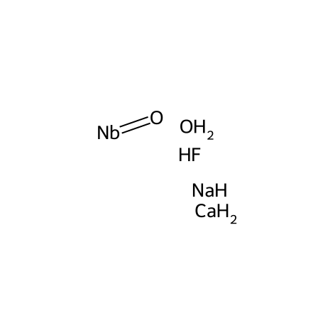 F.O.[CaH2].[NaH].[O]=[Nb]